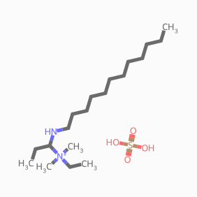 CCCCCCCCCCCCNC(CC)[N+](C)(C)CC.O=S(=O)(O)O